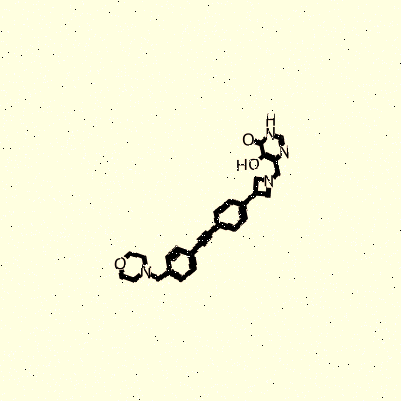 O=c1[nH]cnc(CN2CC(c3ccc(C#Cc4ccc(CN5CCOCC5)cc4)cc3)C2)c1O